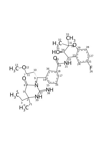 CCC1(CC)CC(=O)N([C@H](CCOC)c2cccc(C(=O)NC3c4cc(F)ccc4OC(C)(C)[C@@H]3O)c2)C(=N)N1